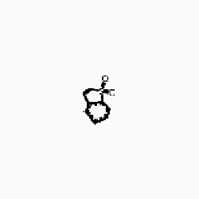 O=S1(=O)C=Cc2[c]cccc21